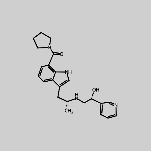 C[C@H](Cc1c[nH]c2c(C(=O)N3CCCC3)cccc12)NC[C@H](O)c1cccnc1